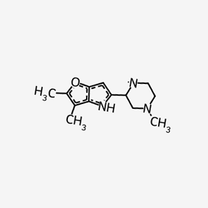 Cc1oc2cc(C3CN(C)CC[N]3)[nH]c2c1C